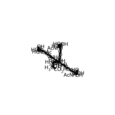 CC(=O)N[C@H]1C(OCCOCCOCCOCC(=O)NCCCC[C@H](NC(=O)COCCOCCOCCO[C@@H]2O[C@H](CO)[C@H](O)C(O)[C@H]2NC(C)=O)C(=O)N[C@@H](CCCCNC(=O)COCCOCCOCCOC2O[C@H](CO)C(O)[C@H](O)[C@H]2NC(C)=O)C(=O)NC(C)(C)CCOC(C)(C)CCC(=O)O)O[C@H](CO)[C@H](O)C1O